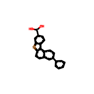 OB(O)c1ccc2c(c1)sc1ccc3cc(-c4ccccc4)ccc3c12